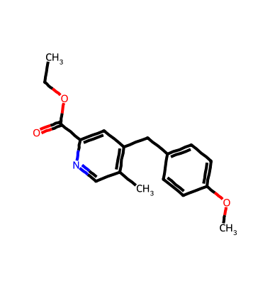 CCOC(=O)c1cc(Cc2ccc(OC)cc2)c(C)cn1